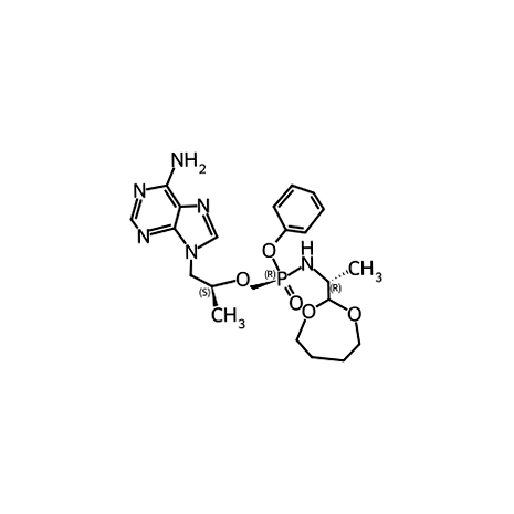 C[C@@H](Cn1cnc2c(N)ncnc21)OC[P@](=O)(N[C@H](C)C1OCCCCO1)Oc1ccccc1